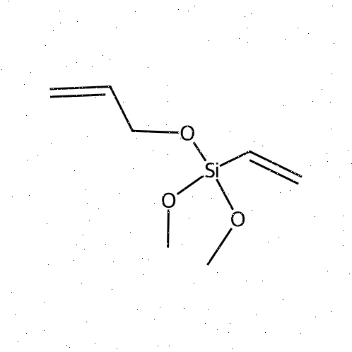 C=CCO[Si](C=C)(OC)OC